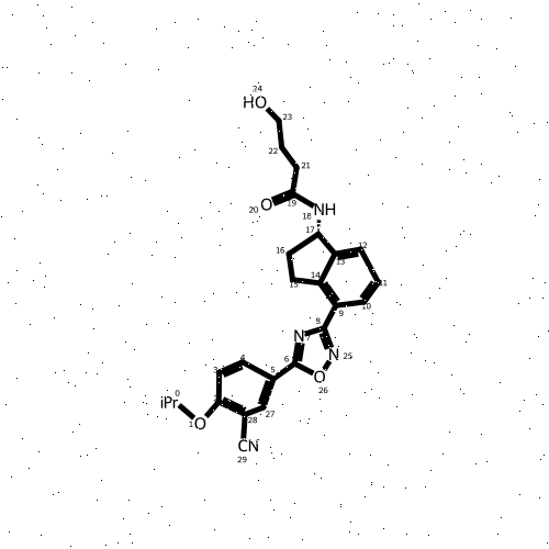 CC(C)Oc1ccc(-c2nc(-c3cccc4c3CC[C@@H]4NC(=O)CCCO)no2)cc1C#N